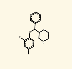 Fc1ccc(OC(c2cccnc2)C2CNCCO2)c(F)c1